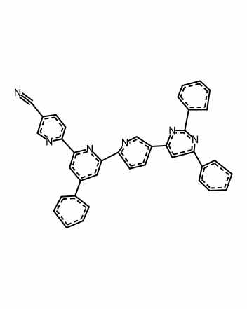 N#Cc1ccc(-c2cc(-c3ccccc3)cc(-c3ccc(-c4cc(-c5ccccc5)nc(-c5ccccc5)n4)cn3)n2)nc1